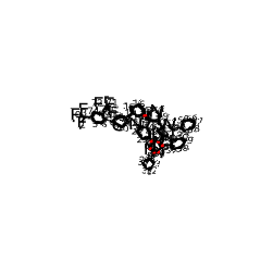 FC(F)(F)c1ccc(-c2ccc3c(c2)c2ccccc2n3-c2ccc(-c3nc(-c4ccccc4)nc(-c4ccccc4)n3)cc2-c2ccncc2-c2nc(-c3ccccc3)nc(-c3ccccc3)n2)c(C(F)(F)F)c1